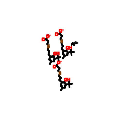 Cc1cc(CCCSCCC(=O)[O-])c(O)c(C(C)(C)C)c1.Cc1cc(CCCSCCC(=O)[O-])c(O)c(C(C)(C)C)c1.Cc1cc(CCCSCCC(=O)[O-])c(O)c(C(C)(C)C)c1.[Al+3]